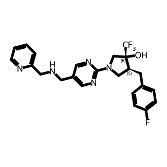 O[C@@]1(C(F)(F)F)CN(c2ncc(CNCc3ccccn3)cn2)C[C@@H]1Cc1ccc(F)cc1